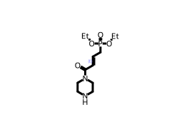 CCOP(=O)(C/C=C/C(=O)N1CCNCC1)OCC